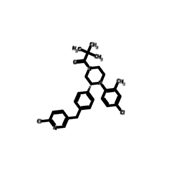 Cc1cc(Cl)ccc1N1CCN(C(=O)C(C)(C)C)C[C@H]1c1ccc(Cc2ccc(Cl)nc2)cc1